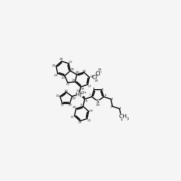 CCCCc1ccc([C](c2ccccc2)=[Hf+2]([c]2cccc3c2Cc2ccccc2-3)[CH]2C=CC=C2)s1.[Cl-].[Cl-]